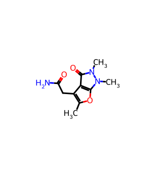 Cc1oc2c(c1CC(N)=O)c(=O)n(C)n2C